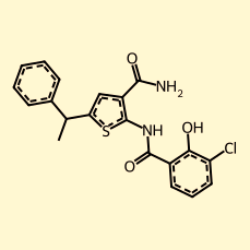 CC(c1ccccc1)c1cc(C(N)=O)c(NC(=O)c2cccc(Cl)c2O)s1